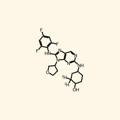 [2H]C1([2H])CC(Nc2ncc3nc(Nc4c(F)cc(F)cc4F)n(C4CCOC4)c3n2)CCC1O